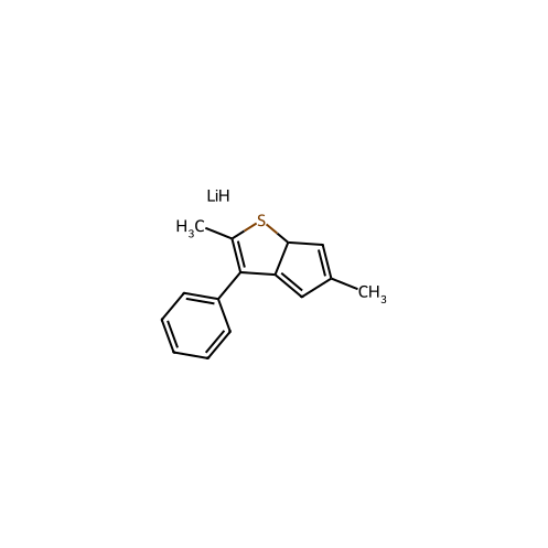 CC1=CC2SC(C)=C(c3ccccc3)C2=C1.[LiH]